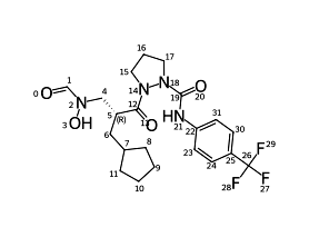 O=CN(O)C[C@@H](CC1CCCC1)C(=O)N1CCCN1C(=O)Nc1ccc(C(F)(F)F)cc1